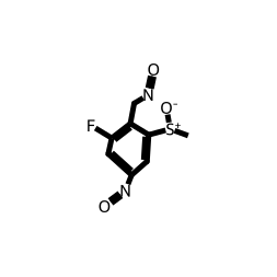 C[S+]([O-])c1cc(N=O)cc(F)c1CN=O